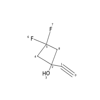 C#CC1(O)CC(F)(F)C1